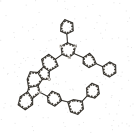 c1ccc(-c2ccc(-c3nc(-c4ccccc4)nc(-c4ccc5c(c4)oc4c5ccc5c6ccccc6n(-c6ccc(-c7cccc(-c8ccccc8)c7)cc6)c54)n3)cc2)cc1